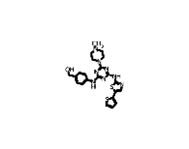 CN1CCN(c2nc(Nc3ccc(CO)cc3)nc(Nc3ncc(-c4cccs4)s3)n2)CC1